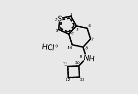 Cl.c1scc2c1CCC(NC1CCC1)C2